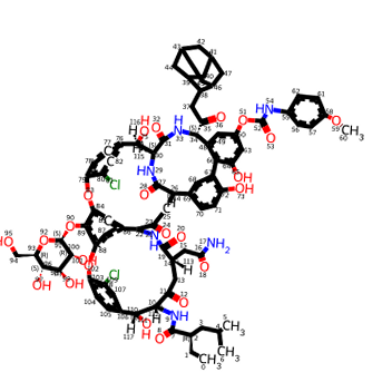 CC[C@H](CC(C)C)C(=O)N[C@H]1C(=O)C[C@@H](CC(N)=O)C(=O)NC2C(=O)C[C@H]3C(=O)N[C@H](C(=O)N[C@H](C(=O)CC4C5CC6CC(C5)CC4C6)c4cc(OC(=O)Nc5ccc(OC)cc5)cc(O)c4-c4cc3ccc4O)[C@H](O)c3ccc(c(Cl)c3)Oc3cc2cc(c3O[C@@H]2O[C@H](CO)[C@@H](O)[C@H](O)[C@H]2O)Oc2ccc(cc2Cl)[C@H]1O